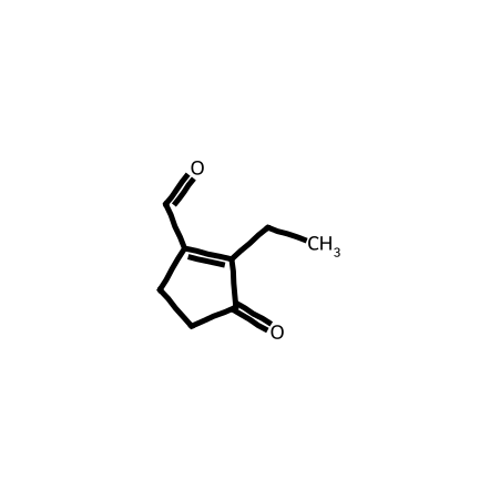 CCC1=C(C=O)CCC1=O